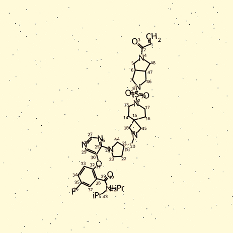 C=CC(=O)N1CC2CN(S(=O)(=O)N3CCC4(CC3)CN(C[C@@H]3CCN(c5ncncc5Oc5ccc(F)cc5C(=O)N(C(C)C)C(C)C)C3)C4)CC2C1